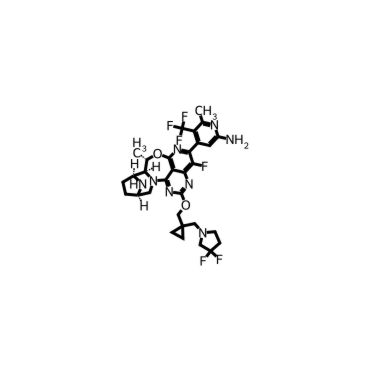 Cc1nc(N)cc(-c2nc3c4c(nc(OCC5(CN6CCC(F)(F)C6)CC5)nc4c2F)N2C[C@H]4CC[C@H](N4)[C@H]2[C@H](C)O3)c1C(F)(F)F